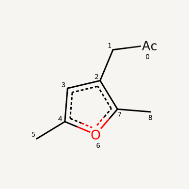 CC(=O)Cc1cc(C)oc1C